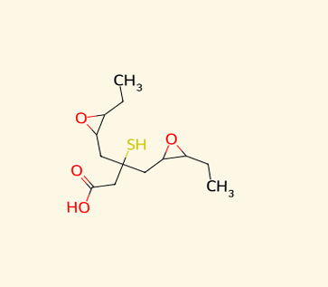 CCC1OC1CC(S)(CC(=O)O)CC1OC1CC